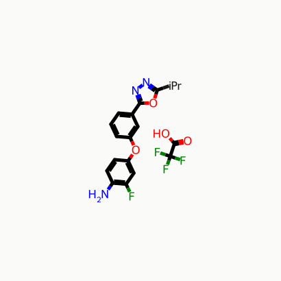 CC(C)c1nnc(-c2cccc(Oc3ccc(N)c(F)c3)c2)o1.O=C(O)C(F)(F)F